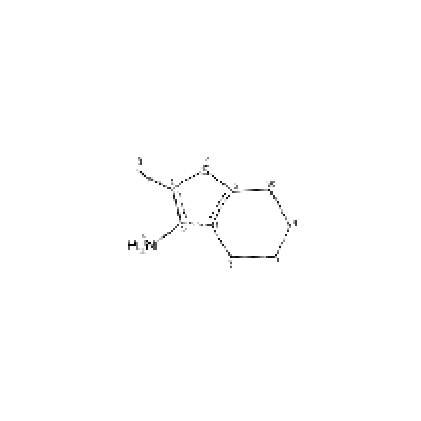 Cc1sc2c(c1N)CCCC2